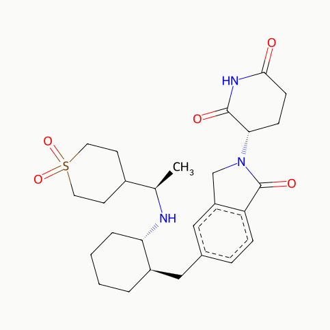 C[C@@H](N[C@H]1CCCC[C@@H]1Cc1ccc2c(c1)CN([C@H]1CCC(=O)NC1=O)C2=O)C1CCS(=O)(=O)CC1